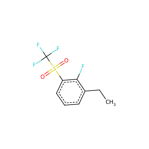 CCc1cccc(S(=O)(=O)C(F)(F)F)c1F